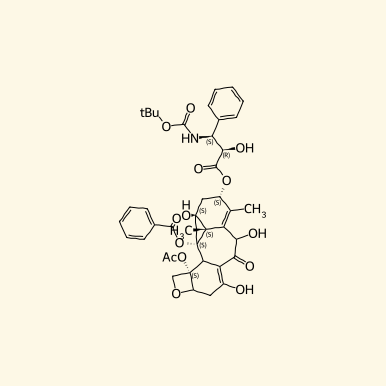 CC(=O)O[C@@]12COC1CC(O)=C1C(=O)C(O)C3=C(C)[C@@H](OC(=O)[C@H](O)[C@@H](NC(=O)OC(C)(C)C)c4ccccc4)C[C@]4(O)[C@@]3(C)[C@@]4(OC(=O)c3ccccc3)C12